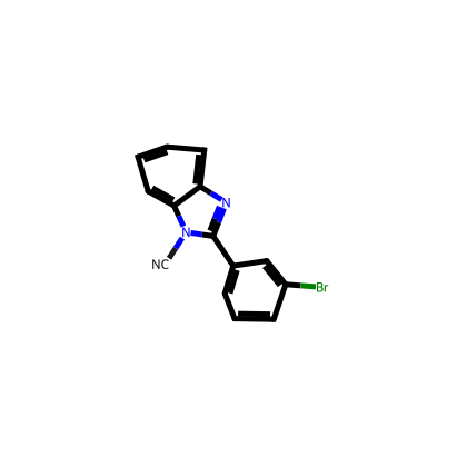 N#Cn1c(-c2cccc(Br)c2)nc2ccccc21